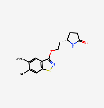 COc1cc2c(OCC[C@@H]3CCC(=O)N3)nsc2cc1C#N